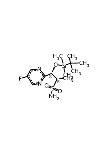 C[C@H]([C@H](O[Si](C)(C)C(C)(C)C)c1ncc(F)cn1)S(N)(=O)=O